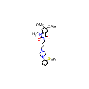 CCCSc1ccccc1N1CCN(CCCCn2c(=O)c3cc(OC)c(OC)cc3n(C)c2=O)CC1